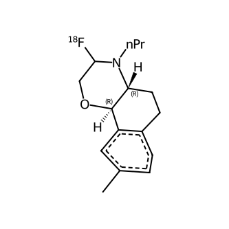 CCCN1C([18F])CO[C@@H]2c3cc(C)ccc3CC[C@H]21